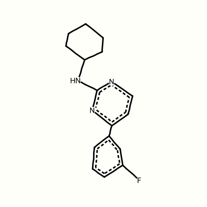 Fc1cccc(-c2ccnc(NC3CCCCC3)n2)c1